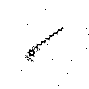 CCCCCCCCCCCCCC(=O)Oc1ccc(S(N)(=O)=O)cc1